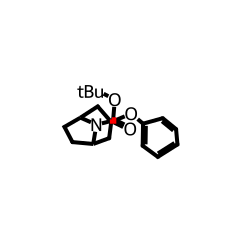 CC(C)(C)OC(=O)N1C2CCC1CC(Oc1ccccc1)C2